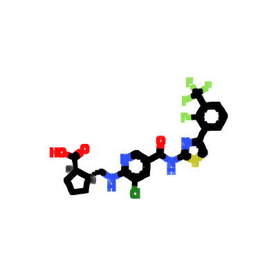 O=C(Nc1nc(-c2cccc(C(F)(F)F)c2F)cs1)c1cnc(NC[C@@H]2CCC[C@H]2C(=O)O)c(Cl)c1